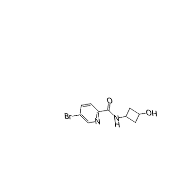 O=C(NC1CC(O)C1)c1ccc(Br)cn1